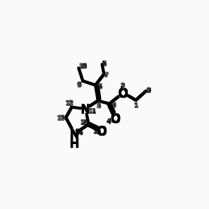 CCOC(=O)C(=C(CC)CC)N1CCNC1=O